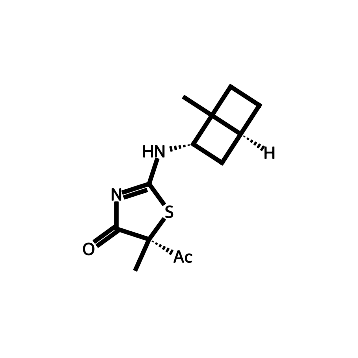 CC(=O)[C@@]1(C)SC(N[C@H]2C[C@@H]3CCC32C)=NC1=O